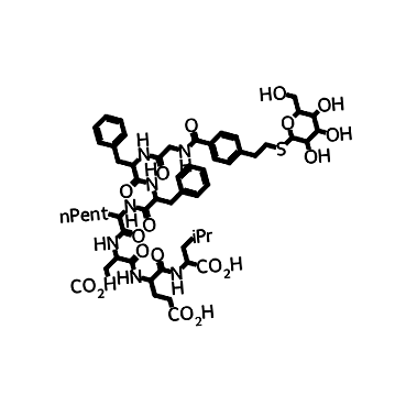 CCCCCC(NC(=O)C(Cc1ccccc1)NC(=O)C(Cc1ccccc1)NC(=O)CNC(=O)c1ccc(CCSC2OC(CO)C(O)C(O)C2O)cc1)C(=O)NC(CC(=O)O)C(=O)NC(CCC(=O)O)C(=O)NC(CC(C)C)C(=O)O